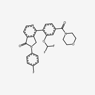 O=C(c1ccc(-c2nccc3c2CN(c2ccc(F)cc2)C3=O)c(OC(F)F)c1)N1CCOCC1